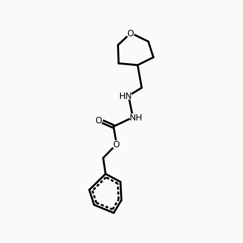 O=C(NNCC1CCOCC1)OCc1ccccc1